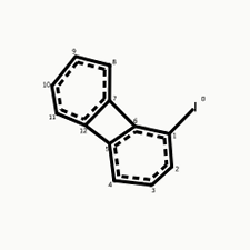 Ic1cccc2c1-c1ccccc1-2